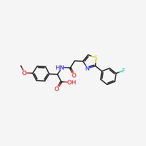 COc1ccc(C(NC(=O)Cc2csc(-c3cccc(F)c3)n2)C(=O)O)cc1